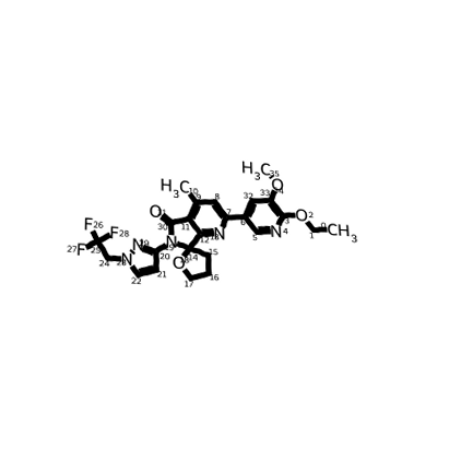 CCOc1ncc(-c2cc(C)c3c(n2)C2(CCCO2)N(c2ccn(CC(F)(F)F)n2)C3=O)cc1OC